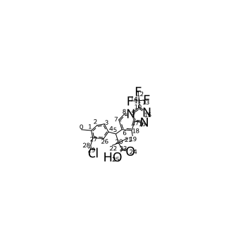 Cc1ccc(C(c2ccn3c(C(F)(F)F)nnc3c2C)C(C)(C)C(=O)O)cc1CCl